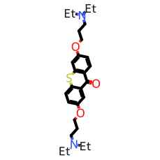 CCN(CC)CCCOc1ccc2c(=O)c3cc(OCCCN(CC)CC)ccc3sc2c1